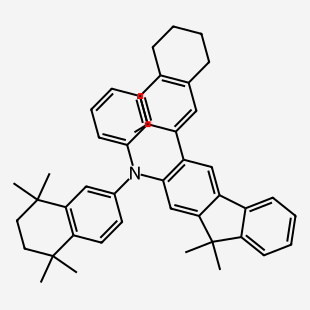 Cc1cc2c(cc1-c1cc3c(cc1N(c1ccccc1)c1ccc4c(c1)C(C)(C)CCC4(C)C)C(C)(C)c1ccccc1-3)CCCC2